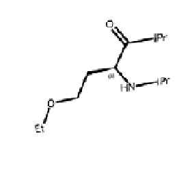 CCOCC[C@H](NC(C)C)C(=O)C(C)C